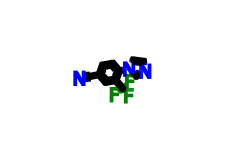 N#Cc1ccc(-n2ccnc2)c(C(F)(F)F)c1